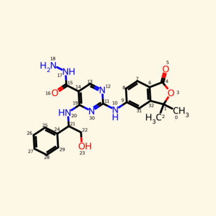 CC1(C)OC(=O)c2ccc(Nc3ncc(C(=O)NN)c(NC(CO)c4ccccc4)n3)cc21